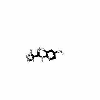 Cc1cnc(NC(=O)c2nnn[nH]2)c(C#N)c1